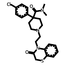 CN(C)C(=O)C1(c2ccc(Cl)cc2)CCN(CCN2C(=O)CSc3ccccc32)CC1